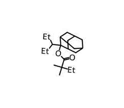 CCC(CC)C1(OC(=O)C(C)(C)CC)C2CC3CC(C2)CC1C3